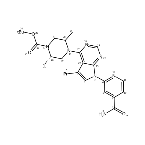 CC(C)c1cn(-c2cc(C(N)=O)ccn2)c2ncnc(N3C[C@H](C)N(C(=O)OC(C)(C)C)CC3C)c12